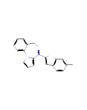 Cc1ccc2cc(C3=NCc4ccccc4-n4cccc43)oc2c1